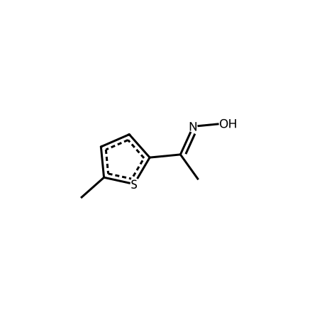 CC(=NO)c1ccc(C)s1